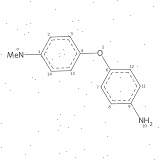 CNc1ccc(Oc2ccc(N)cc2)cc1